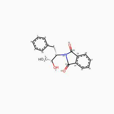 O=C(O)[C@@H](O)[C@H](Cc1ccccc1)N1C(=O)c2ccccc2C1=O